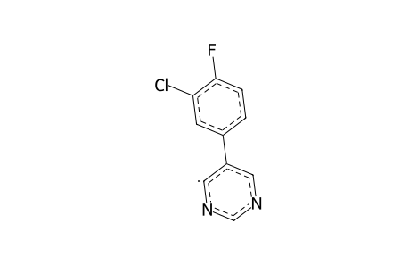 Fc1ccc(-c2[c]ncnc2)cc1Cl